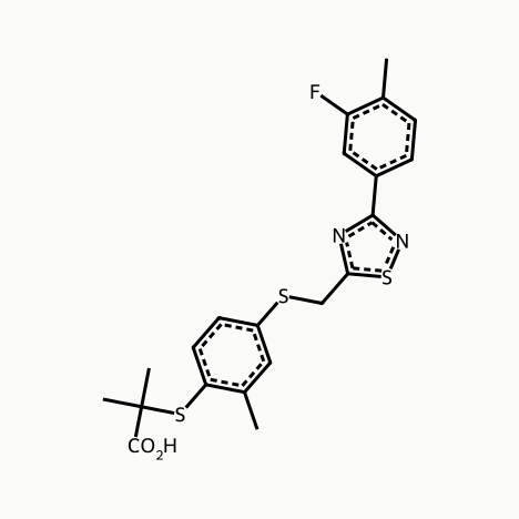 Cc1ccc(-c2nsc(CSc3ccc(SC(C)(C)C(=O)O)c(C)c3)n2)cc1F